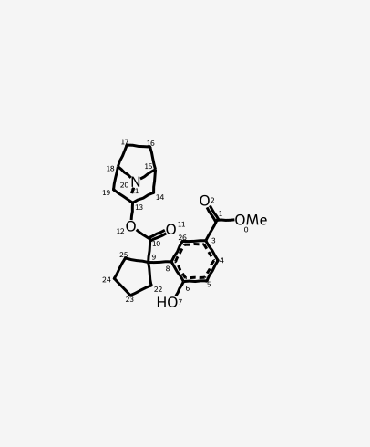 COC(=O)c1ccc(O)c(C2(C(=O)OC3CC4CCC(C3)N4C)CCCC2)c1